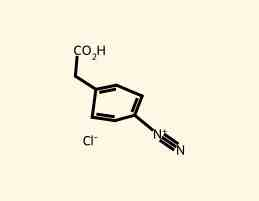 N#[N+]c1ccc(CC(=O)O)cc1.[Cl-]